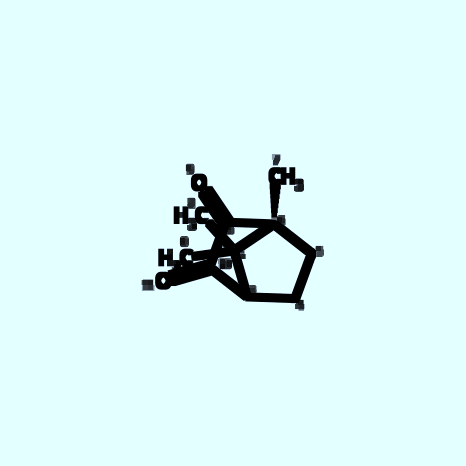 CC1(C)C2CC[C@]1(C)C(=O)C2=O